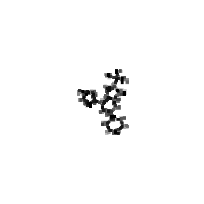 FC(F)(F)c1nc2c(-c3nc[nH]n3)cc(N3CCOCC3)cc2[nH]1